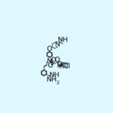 CCOC(=O)CS(=O)(=O)N(C/C=C/c1cccc(C(=N)N)c1)c1ccc(OC2CCN(C(C)=N)CC2)cc1.Cl.Cl